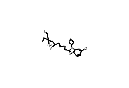 O=C(CCCCc1nc2ccc(Cl)nc2n1C1CCC1)CC(O)(CF)CF